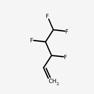 C=CC(F)C(F)C(F)F